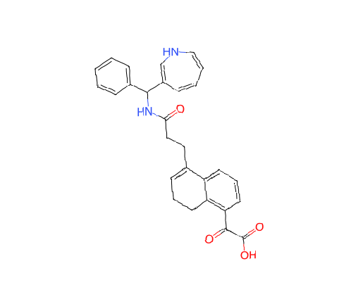 O=C(CCC1=CCCc2c(C(=O)C(=O)O)cccc21)NC(C1=CNC=CC=C1)c1ccccc1